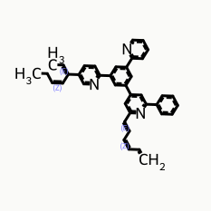 C=C/C=C\C=C\c1cc(-c2cc(-c3ccccn3)cc(-c3ccc(C(/C=C\CC)=C/C)cn3)c2)cc(-c2ccccc2)n1